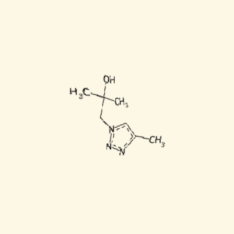 Cc1cn(CC(C)(C)O)nn1